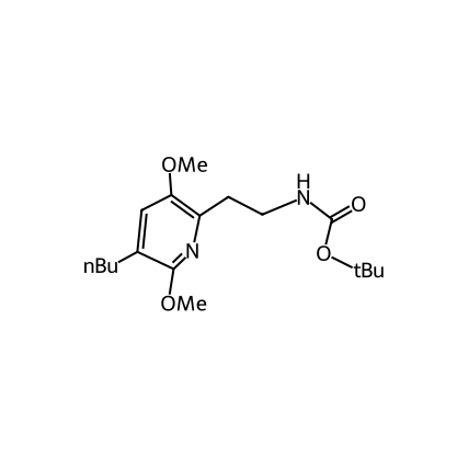 CCCCc1cc(OC)c(CCNC(=O)OC(C)(C)C)nc1OC